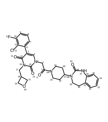 O=C(Cn1cc(-c2cccc(F)c2Cl)c(=O)n(CC2COC2)c1=O)N1CCC(N2CCc3ccccc3NC2=O)CC1